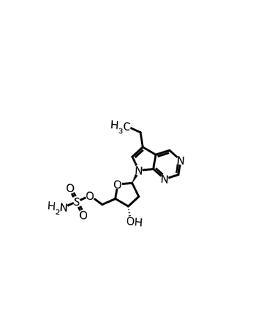 CCc1cn([C@H]2C[C@H](O)C(COS(N)(=O)=O)O2)c2ncncc12